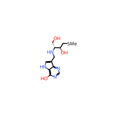 CSC[C@@H](O)[C@@H](CO)NCc1c[nH]c2c(O)ncnc12